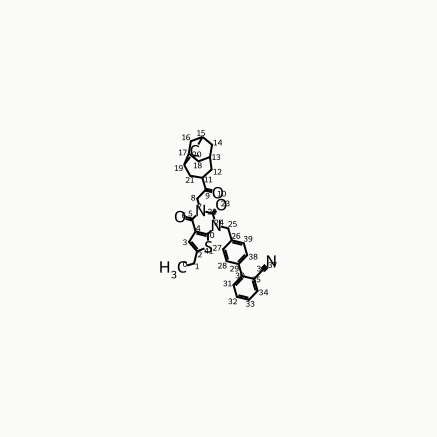 CCc1cc2c(=O)n(CC(=O)C3CC4CC5CC(C4)C(C5)C3)c(=O)n(Cc3ccc(-c4ccccc4C#N)cc3)c2s1